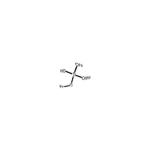 C[O][Ti]([OH])([OH])[O]C(C)C